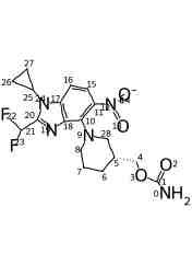 NC(=O)OC[C@@H]1CCCN(c2c([N+](=O)[O-])ccc3c2nc(C(F)F)n3C2CC2)C1